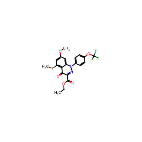 CCOC(=O)c1nn(-c2ccc(OC(F)(F)F)cc2)c2cc(OC)cc(SC)c2c1=O